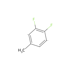 Cc1[c]c(F)c(F)[c]c1